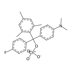 Cc1cc(C)c(C(O[Cl+3]([O-])([O-])[O-])(c2ccc(F)cc2)c2ccc(N(C)C)cc2)c(C)c1